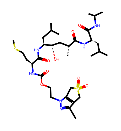 CSCC[C@H](NC(=O)OCCn1nc(C)c2c1CS(=O)(=O)C2)C(=O)N[C@@H](CC(C)C)[C@@H](O)C[C@@H](C)C(=O)N[C@@H](CC(C)C)C(=O)NC(C)C